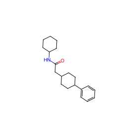 O=C(CC1CCC(c2ccccc2)CC1)NC1CCCCC1